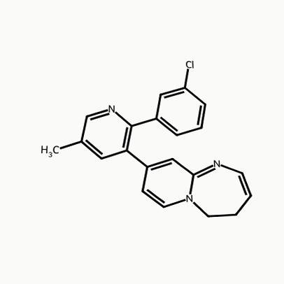 Cc1cnc(-c2cccc(Cl)c2)c(C2=CC3=NC=CCCN3C=C2)c1